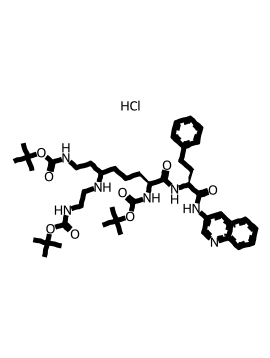 CC(C)(C)OC(=O)NCCNC(CCC[C@H](NC(=O)OC(C)(C)C)C(=O)N[C@@H](CCc1ccccc1)C(=O)Nc1cnc2ccccc2c1)CCNC(=O)OC(C)(C)C.Cl